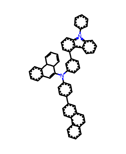 C1=CC2C(N(c3ccc(-c4ccc5c(ccc6ccccc65)c4)cc3)c3cccc(-c4cccc5c4c4ccccc4n5-c4ccccc4)c3)=Cc3ccccc3C2C=C1